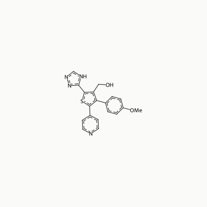 COc1ccc(-c2c(-c3ccncc3)sc(-c3nnc[nH]3)c2CO)cc1